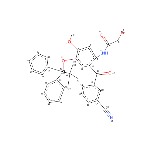 COc1cc(NC(=O)CBr)c(C(=O)c2cccc(C#N)c2)cc1O[Si](c1ccccc1)(c1ccccc1)C(C)(C)C